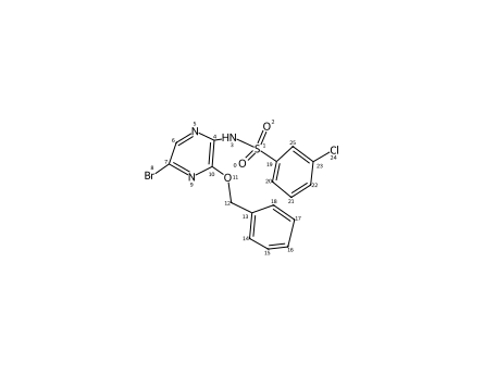 O=S(=O)(Nc1ncc(Br)nc1OCc1ccccc1)c1cccc(Cl)c1